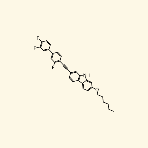 CCCCCCOc1ccc2c(c1)[nH]c1cc(C#Cc3ccc(-c4ccc(F)c(F)c4)cc3F)ccc12